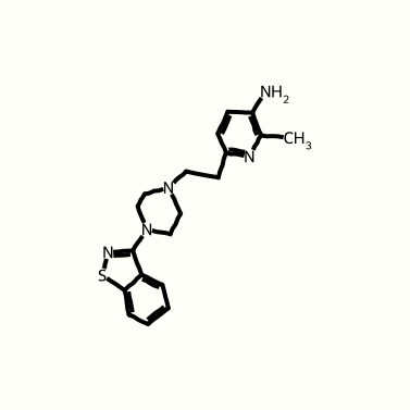 Cc1nc(CCN2CCN(c3nsc4ccccc34)CC2)ccc1N